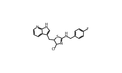 Fc1ccc(CNC2=NC(Cl)C(Cc3c[nH]c4ncccc34)S2)cc1